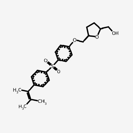 CC(C)=C(C)c1ccc(S(=O)(=O)c2ccc(OCC3CCC(CO)O3)cc2)cc1